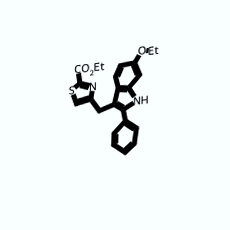 CCOC(=O)c1nc(Cc2c(-c3ccccc3)[nH]c3cc(OCC)ccc23)cs1